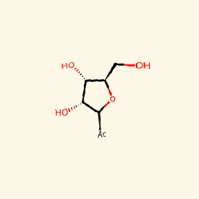 CC(=O)C1O[C@H](CO)[C@@H](O)[C@H]1O